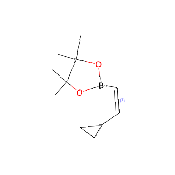 CC1(C)OB(/C=C\C2CC2)OC1(C)C